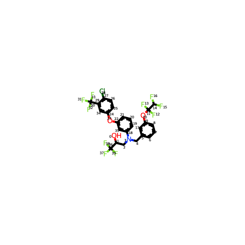 OC(CN(Cc1cccc(OC(F)(F)C(F)F)c1)c1cccc(Oc2ccc(Cl)c(C(F)(F)F)c2)c1)C(F)(F)F